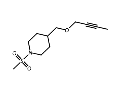 CC#CCOCC1CCN(S(C)(=O)=O)CC1